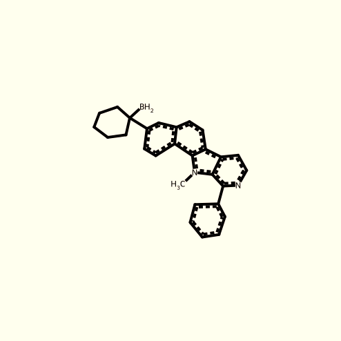 BC1(c2ccc3c(ccc4c5ccnc(-c6ccccc6)c5n(C)c34)c2)CCCCC1